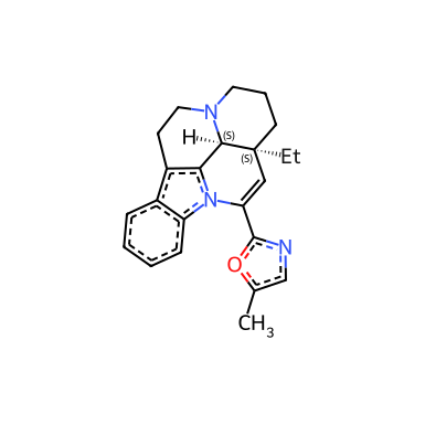 CC[C@@]12C=C(c3ncc(C)o3)n3c4c(c5ccccc53)CCN(CCC1)[C@H]42